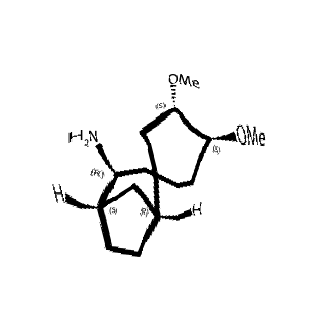 CO[C@H]1CC2(C[C@@H]1OC)[C@@H]1CC[C@@H](C1)[C@H]2N